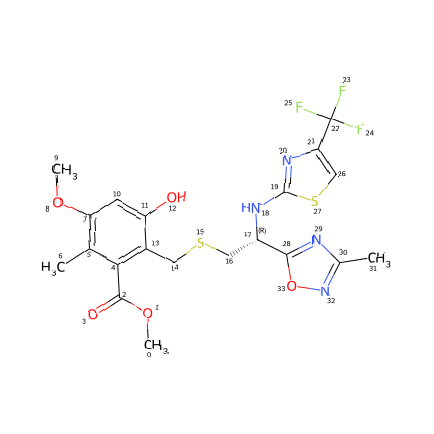 COC(=O)c1c(C)c(OC)cc(O)c1CSC[C@H](Nc1nc(C(F)(F)F)cs1)c1nc(C)no1